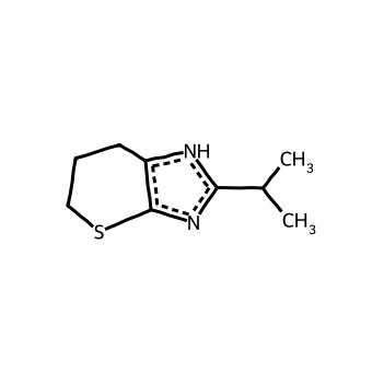 CC(C)c1nc2c([nH]1)CCCS2